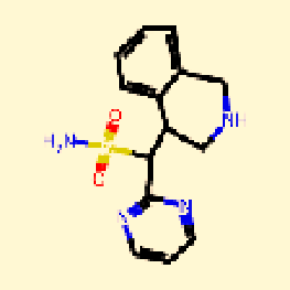 NS(=O)(=O)C(c1ncccn1)C1CNCc2ccccc21